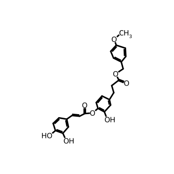 COc1ccc(COC(=O)CCc2ccc(OC(=O)C=Cc3ccc(O)c(O)c3)c(O)c2)cc1